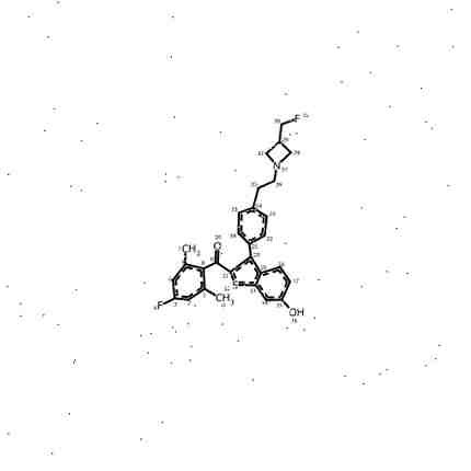 Cc1cc(F)cc(C)c1C(=O)c1sc2cc(O)ccc2c1-c1ccc(CCN2CC(CF)C2)cc1